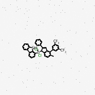 Cc1ccc2c(c1-c1cc(C(F)(F)F)cc(C(F)(F)F)c1)C=C(c1ccccc1)[CH]2[Zr]([Cl])([Cl])[c]1cccc2c1[SiH2]c1ccccc1-2